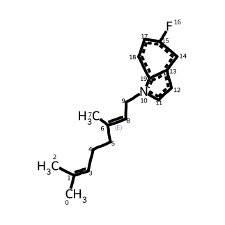 CC(C)=CCC/C(C)=C/Cn1ccc2cc(F)ccc21